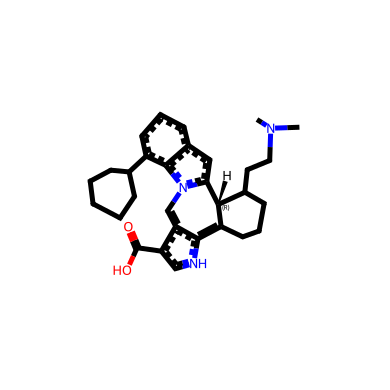 CN(C)CCC1CCCC2=c3[nH]cc(C(=O)O)c3=Cn3c(cc4cccc(C5CCCCC5)c43)[C@@H]21